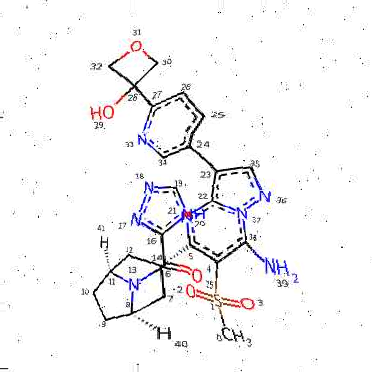 CS(=O)(=O)c1c([C@@H]2C[C@H]3CC[C@@H](C2)N3C(=O)c2nnc[nH]2)nc2c(-c3ccc(C4(O)COC4)nc3)cnn2c1N